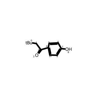 CC(C)(C)CC(=O)c1ccc(O)cc1